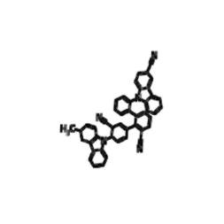 CC1C=Cc2c(c3ccccc3n2C2C=CC(c3c(C#N)cccc3-c3ccccc3-n3c4ccccc4c4cc(C#N)ccc43)=CC2C#N)C1